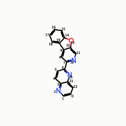 c1cnc2ccc(-c3cc4c(cn3)oc3ccccc34)nc2c1